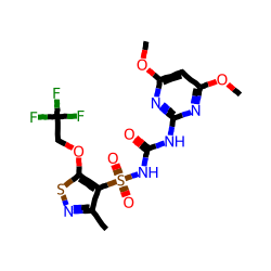 COc1cc(OC)nc(NC(=O)NS(=O)(=O)c2c(C)nsc2OCC(F)(F)F)n1